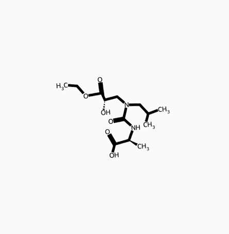 CCOC(=O)[C@@H](O)CN(CC(C)C)C(=O)N[C@@H](C)C(=O)O